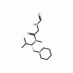 CC(C)[C@@H](CN1CCCCC1)N(C)C(=O)CNC=O